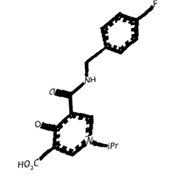 CC(C)n1cc(C(=O)O)c(=O)c(C(=O)NCc2ccc(F)cc2)c1